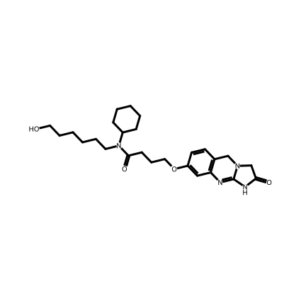 O=C1CN2Cc3ccc(OCCCC(=O)N(CCCCCCO)C4CCCCC4)cc3N=C2N1